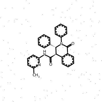 Cc1cccc(NC(=O)[C@@H]2c3ccccc3C(=O)N(c3ccccc3)[C@H]2c2ccccc2)n1